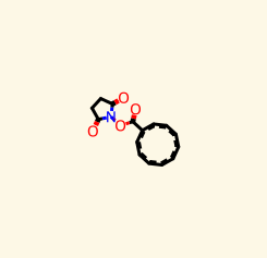 O=C(ON1C(=O)CCC1=O)c1ccccccccc1